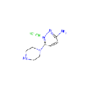 Cl.Cl.Nc1ccc(N2CCNCC2)nn1